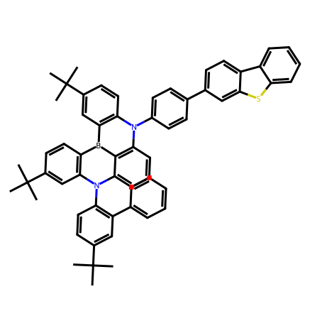 CC(C)(C)c1ccc2c(c1)B1c3ccc(C(C)(C)C)cc3N(c3ccc(C(C)(C)C)cc3-c3ccccc3)c3cccc(c31)N2c1ccc(-c2ccc3c(c2)sc2ccccc23)cc1